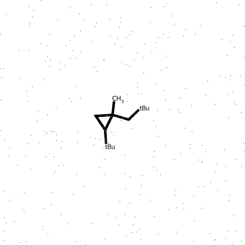 CC(C)(C)CC1(C)CC1C(C)(C)C